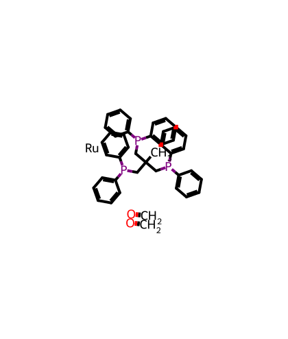 C=O.C=O.CC(CP(c1ccccc1)c1ccccc1)(CP(c1ccccc1)c1ccccc1)CP(c1ccccc1)c1ccccc1.[Ru]